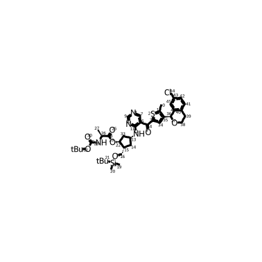 Cc1sc(C(=O)c2cncnc2N[C@@H]2C[C@H](CO[Si](C)(C)C(C)(C)C)[C@@H](OC(=O)[C@H](C)NC(=O)OC(C)(C)C)C2)cc1[C@@H]1OCCc2ccc(Cl)cc21